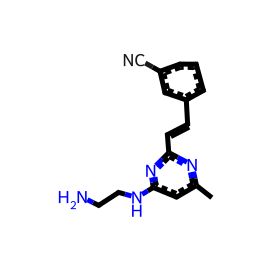 Cc1cc(NCCN)nc(/C=C/c2cccc(C#N)c2)n1